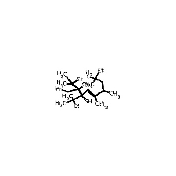 CCC(C)(C)CC(C)C(C)=CC(S)(C(C)(C)CC)C(C)(CC(C)C)C(C)(C)CC